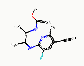 C#Cc1cc(F)c(NC(C)C(C)NC(=C)OC(C)C)nc1C